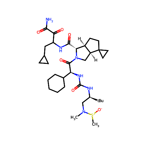 CN(C[C@@H](NC(=O)N[C@H](C(=O)N1C[C@H]2[C@H](CCC23CC3)[C@H]1C(=O)NC(CC1CC1)C(=O)C(N)=O)C1CCCCC1)C(C)(C)C)[S+](C)[O-]